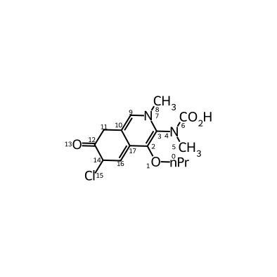 CCCOC1=C(N(C)C(=O)O)N(C)C=C2CC(=O)C(Cl)C=C21